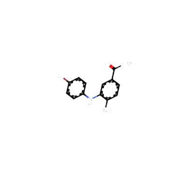 COC(=O)c1ccc([N+](=O)[O-])c(Nc2ccc(Br)cc2)c1